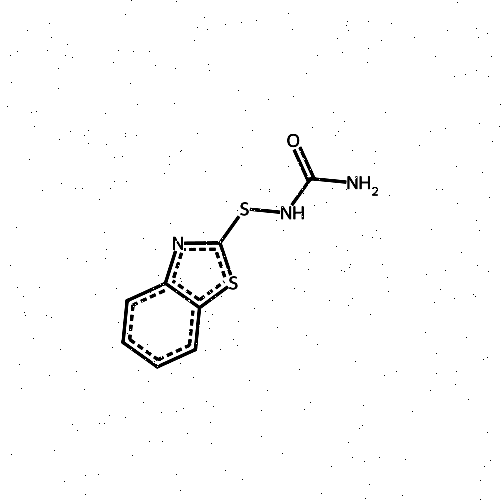 NC(=O)NSc1nc2ccccc2s1